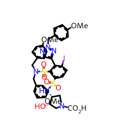 COc1ccc(CN(Cc2ccc(OC)cc2)S(=O)(=O)c2c(S(=O)(=O)N[C@@H]3CN(C(=O)O)C[C@@H]3O)ccc(I)c2-c2cnn(Cc3ccc(OC)cc3)n2)cc1